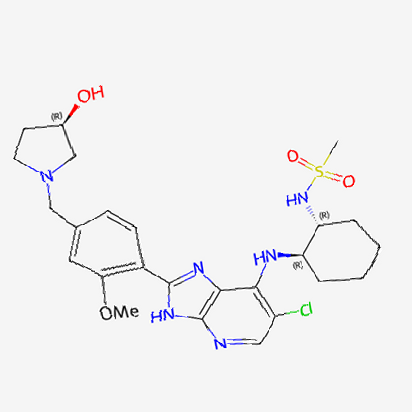 COc1cc(CN2CC[C@@H](O)C2)ccc1-c1nc2c(N[C@@H]3CCCC[C@H]3NS(C)(=O)=O)c(Cl)cnc2[nH]1